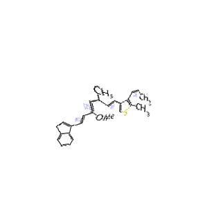 C/C=C\c1c(/C=C/C(C)/C=C(/C=C/C2=CCc3ccccc32)OC)csc1C